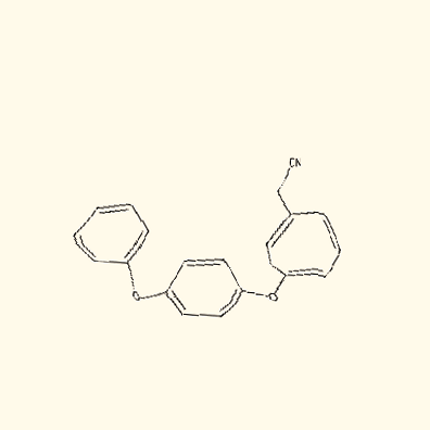 N#CCc1cccc(Oc2ccc(Oc3ccccc3)cc2)c1